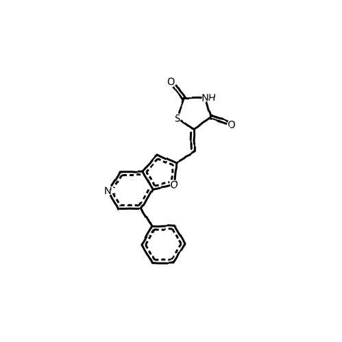 O=C1NC(=O)/C(=C/c2cc3cncc(-c4ccccc4)c3o2)S1